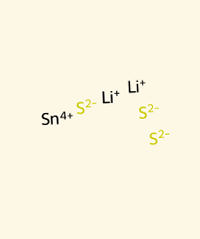 [Li+].[Li+].[S-2].[S-2].[S-2].[Sn+4]